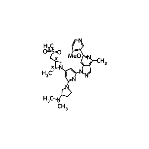 COc1ccncc1-c1cc2c(cnn2-c2cc(N3C[C@H](CS(C)(=O)=O)[C@H]3C)cc(N3CCC(N(C)C)C3)n2)c(C)n1